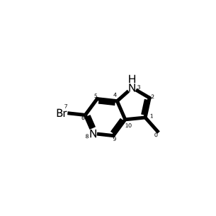 Cc1c[nH]c2cc(Br)ncc12